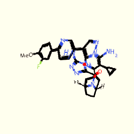 COc1ccc(-c2ccc(-c3cnn4c(N)c(C5CC5)c([C@@H]5C[C@H]6CC[C@@H](C5)N6C(=O)c5nnc(N)[nH]5)nc34)cn2)cc1F